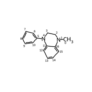 CN1CCN(c2ccccc2)c2ccccc21